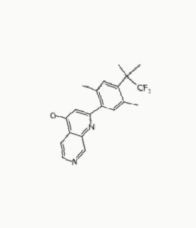 Cc1cc(C(C)(C)C(F)(F)F)c(C)cc1-c1cc(Cl)c2ccncc2n1